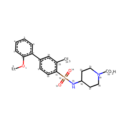 CCOc1ccccc1-c1ccc(S(=O)(=O)NC2CCN(C(=O)O)CC2)c(C(F)(F)F)c1